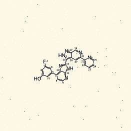 Oc1cc(F)cc(-c2ccnc3[nH]c(-c4[nH]nc5cnc(-c6ccccn6)cc45)nc23)c1